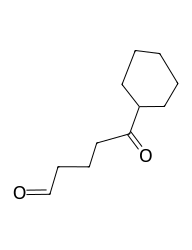 O=CCCCC(=O)C1CCCCC1